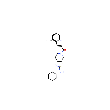 CCc1cc(F)cc2[nH]c(C(=O)N3CCc4nc(N[C@H]5CC[C@@H](O)CC5)sc4C3)cc12